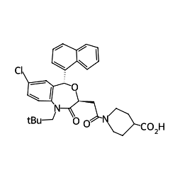 CC(C)(C)CN1C(=O)[C@H](CC(=O)N2CCC(C(=O)O)CC2)O[C@@H](c2cccc3ccccc23)c2cc(Cl)ccc21